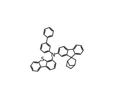 c1ccc(-c2cccc(N(c3ccc4c(c3)C3(CC5CCC3C5)c3ccccc3-4)c3cccc4c3sc3ccccc34)c2)cc1